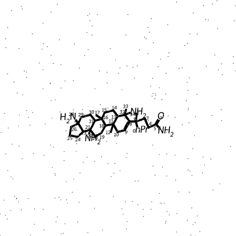 CCCC(C)(CCC(N)=O)C1=CCC2(C)C(CCC3(C)C2CCC2(N)C4CCCC4(N)CCC32)C1(C)N